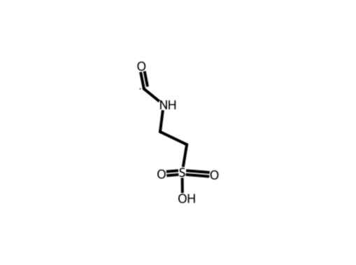 O=[C]NCCS(=O)(=O)O